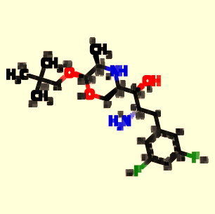 C[C@H]1N[C@@H]([C@@H](O)[C@@H](N)Cc2cc(F)cc(F)c2)CO[C@H]1OCC(C)(C)C